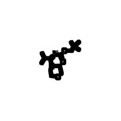 CC(C)/C(=N/C(=O)OCC(C)(C)C)N1CCOCC1